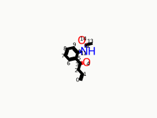 C=CCC(=O)c1ccccc1NC(C)=O